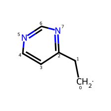 [CH2]Cc1ccncn1